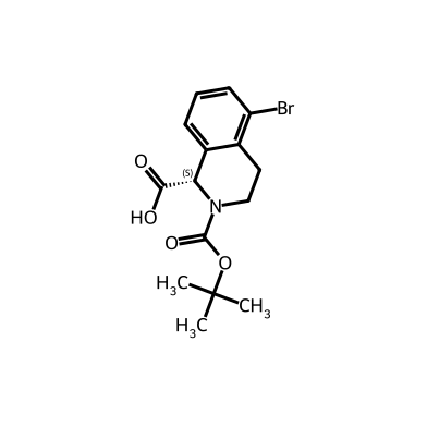 CC(C)(C)OC(=O)N1CCc2c(Br)cccc2[C@H]1C(=O)O